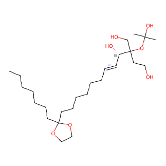 CCCCCCCC1(CCCCCC/C=C/[C@H](O)C(CO)(CCO)OC(C)(C)O)OCCO1